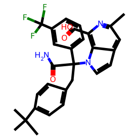 Cc1cc2ccn(C(Cc3ccc(C(C)(C)C)cc3)(C(N)=O)c3cccc(C(F)(F)F)c3)c2c(C(=O)O)n1